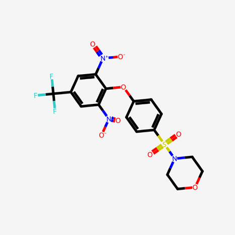 O=[N+]([O-])c1cc(C(F)(F)F)cc([N+](=O)[O-])c1Oc1ccc(S(=O)(=O)N2CCOCC2)cc1